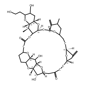 C=C1C[C@@H]2CCC(=O)C[C@H]3O[C@H]4C(O)[C@H]5OC(CCC5O[C@H]4[C@H]3O)CC(=O)OC3[C@H](C[C@H]4OC(CC[C@@H]1O2)CC(C)C4=C)O[C@H]1CC(O)C(CCO)O[C@H]1[C@@H]3C